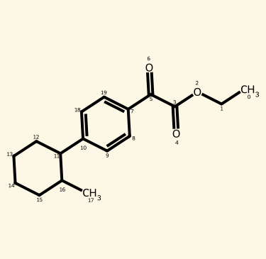 CCOC(=O)C(=O)c1ccc(C2CCCCC2C)cc1